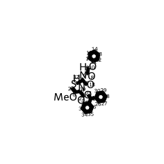 COC1=CS[C@@H]2[C@H](NC(=O)COc3ccccc3)C(=O)N2C1C(=O)OC(c1ccccc1)c1ccccc1